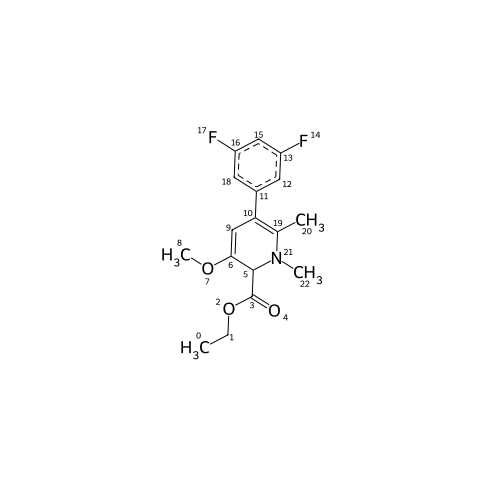 CCOC(=O)C1C(OC)=CC(c2cc(F)cc(F)c2)=C(C)N1C